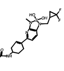 CN1c2nc(C3=CCC(NC(=O)O)CC3)ccc2N(CC2CC2(F)F)S1(O)O